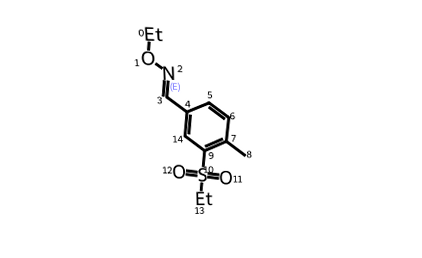 CCO/N=C/c1ccc(C)c(S(=O)(=O)CC)c1